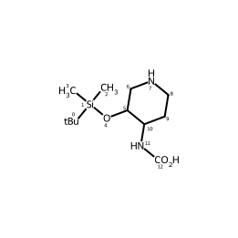 CC(C)(C)[Si](C)(C)OC1CNCCC1NC(=O)O